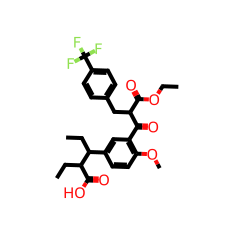 CCOC(=O)C(Cc1ccc(C(F)(F)F)cc1)C(=O)c1cc(C(CC)C(CC)C(=O)O)ccc1OC